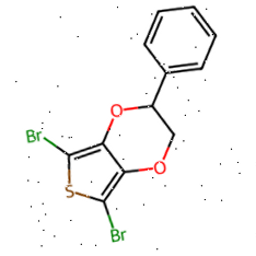 Brc1sc(Br)c2c1OCC(c1ccccc1)O2